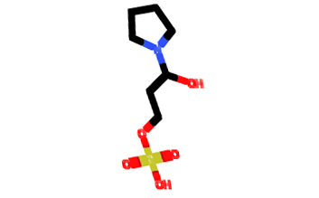 O=S(=O)(O)OCCC(O)N1CCCC1